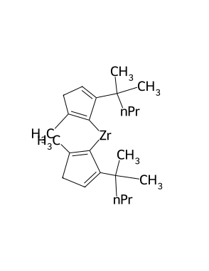 CCCC(C)(C)C1=CCC(C)=[C]1[Zr][C]1=C(C)CC=C1C(C)(C)CCC